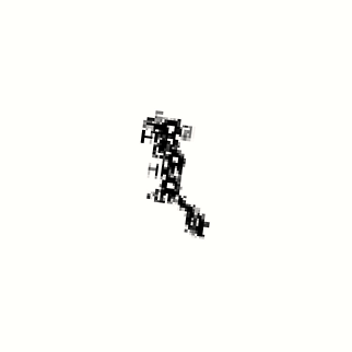 COc1cc(Nc2nccc(N(Cc3cc(C(F)(F)F)ccc3Cl)C(=O)O)n2)ccc1OCCCN1CCN(C)CC1